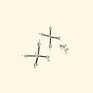 [Mg+2].[O-][Si]([O-])([O-])[O-].[O-][Si]([O-])([O-])[O-].[U+6]